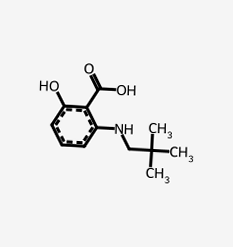 CC(C)(C)CNc1cccc(O)c1C(=O)O